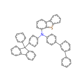 c1ccc(-c2cccc(-c3ccc(N(c4ccc(C5(c6ccccc6)c6ccccc6-c6ccccc65)cc4)c4cccc5c4sc4ccccc45)cc3)c2)cc1